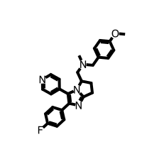 COc1ccc(CN(C)CC2CCc3nc(-c4ccc(F)cc4)c(-c4ccncc4)n32)cc1